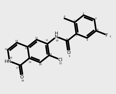 Cc1ccc(F)cc1C(=O)Nc1cc2cc[nH]c(=O)c2cc1Cl